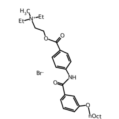 CCCCCCCCOc1cccc(C(=O)Nc2ccc(C(=O)OCC[N+](C)(CC)CC)cc2)c1.[Br-]